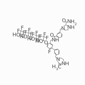 C[C@H]1CN(Cc2cccc(-c3cc(CNC(=O)c4cccc(CN5CCNC(C(N)=O)C5)c4)ccc3F)c2)CCN1.O=C(O)C(F)(F)F.O=C(O)C(F)(F)F.O=C(O)C(F)(F)F.O=C(O)C(F)(F)F